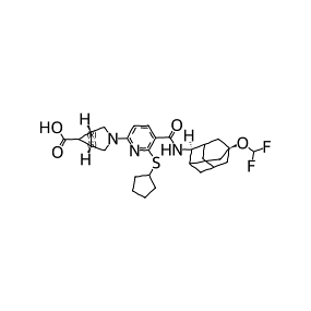 O=C(N[C@H]1C2CC3CC1C[C@@](OC(F)F)(C3)C2)c1ccc(N2C[C@@H]3C(C(=O)O)[C@@H]3C2)nc1SC1CCCC1